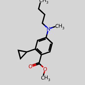 CCCCN(C)c1ccc(C(=O)OC)c(C2CC2)c1